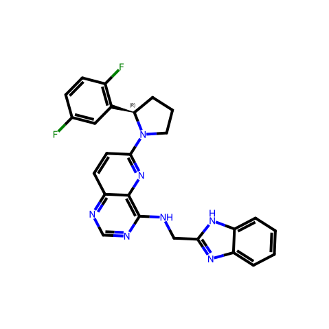 Fc1ccc(F)c([C@H]2CCCN2c2ccc3ncnc(NCc4nc5ccccc5[nH]4)c3n2)c1